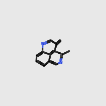 C=c1cnc2cccc3cnc(C)c1c32